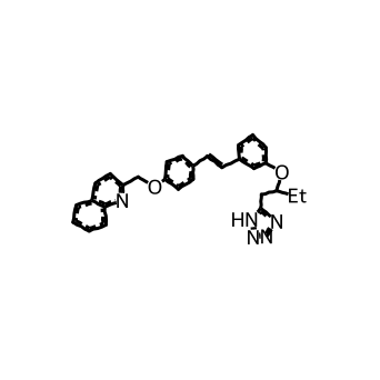 CCC(Cc1nnn[nH]1)Oc1cccc(C=Cc2ccc(OCc3ccc4ccccc4n3)cc2)c1